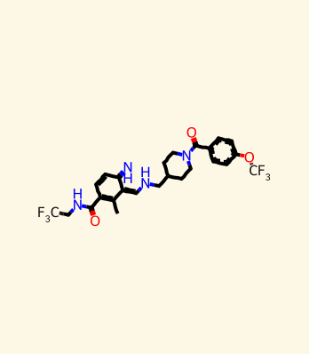 CC1=C(C(=O)NCC(F)(F)F)C=CC(=N)/C1=C\NCC1CCN(C(=O)c2ccc(OC(F)(F)F)cc2)CC1